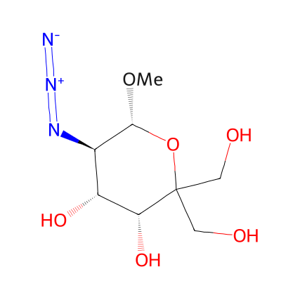 CO[C@@H]1OC(CO)(CO)[C@H](O)[C@H](O)[C@H]1N=[N+]=[N-]